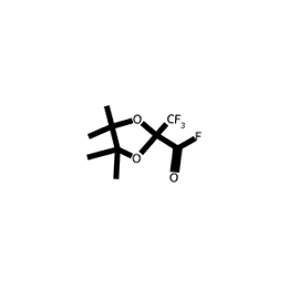 CC1(C)OC(C(=O)F)(C(F)(F)F)OC1(C)C